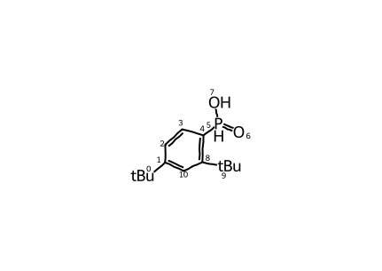 CC(C)(C)c1ccc([PH](=O)O)c(C(C)(C)C)c1